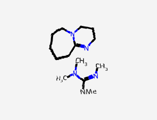 C1CCC2=NCCCN2CC1.CN=C(NC)N(C)C